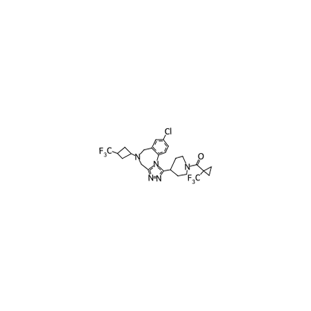 O=C(N1CCC(c2nnc3n2-c2ccc(Cl)cc2CN(C2CC(C(F)(F)F)C2)C3)CC1)C1(C(F)(F)F)CC1